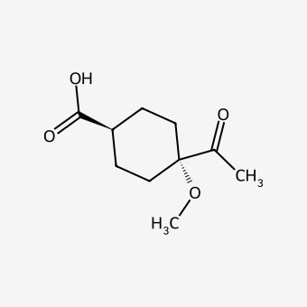 CO[C@]1(C(C)=O)CC[C@@H](C(=O)O)CC1